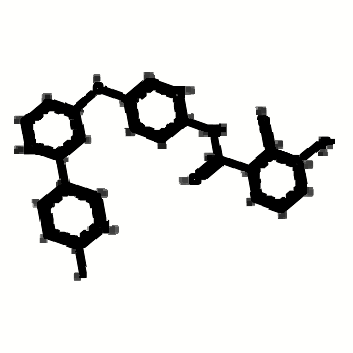 Cc1ccc(-c2cc(Oc3ccc(NC(=O)c4cccn(C(C)C)c4=O)nc3)ccn2)cn1